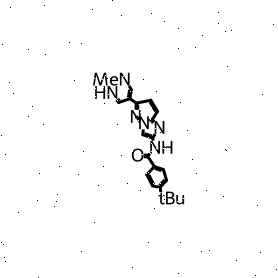 CN/C=C(\C=N)c1ccc2nc(NC(=O)c3ccc(C(C)(C)C)cc3)cn2n1